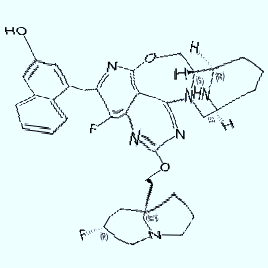 Oc1cc(-c2nc3c4c(nc(OC[C@@]56CCCN5C[C@H](F)C6)nc4c2F)N2C[C@@H]4CCC[C@@H](N4)[C@H]2CO3)c2ccccc2c1